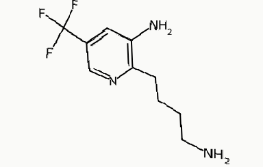 NCCCCc1ncc(C(F)(F)F)cc1N